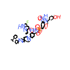 C=Cc1nc2[nH]cc(F)c2cc1Oc1cc(N2CCC3(CC2)CN([C@@H]2CCC[C@@H]2c2ccccc2C(C)C)C3)ccc1C(=O)NS(=O)(=O)c1cc(N=O)c2c(c1)OC[C@H]([C@H]1CC[C@](C)(O)CC1)N2